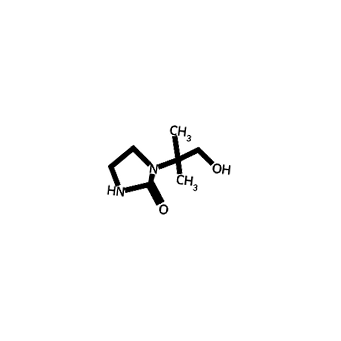 CC(C)(CO)N1CCNC1=O